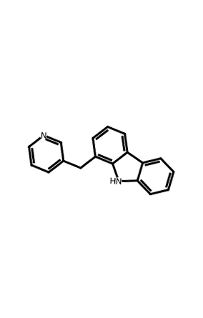 c1cncc(Cc2cccc3c2[nH]c2ccccc23)c1